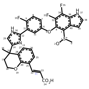 C[S+]([O-])c1c(Oc2ccc(F)c(-c3nc(C4(C)CCOc5c(/C=C/C(=O)O)cccc54)c[nH]3)c2)c(F)c(F)c2[nH]ccc12